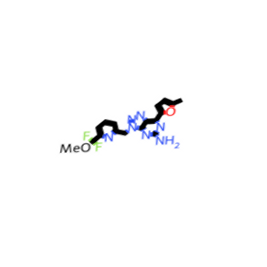 COC(F)(F)c1cccc(Cn2nnc3c(-c4ccc(C)o4)nc(N)nc32)n1